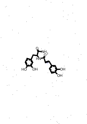 NC(=O)C(Cc1ccc(O)c(O)c1)NC(=O)/C=C/c1ccc(O)c(O)c1